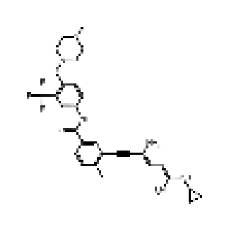 Cc1ccc(C(=O)Nc2ccc(CN3CCN(C)CC3)c(C(F)(F)F)c2)cc1C#C/C(N)=C/C=C(\N)NC1CC1